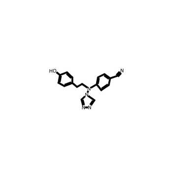 N#Cc1ccc(N(CCc2ccc(O)cc2)n2cnnc2)cc1